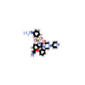 CCOc1ccccc1C1(N2CCN(c3ccncc3)CC2)C(=O)N(S(=O)(=O)c2cccc(N)c2)c2ccc(C#N)cc21